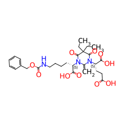 C=C1N([C@@H](CCCCNC(=O)OCc2ccccc2)C(=O)O)C(=O)C(CC)(CC)C(=O)N1[C@@H](CCC(=O)O)C(=O)O